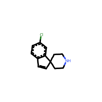 Clc1ccc2c(c1)C1(C=C2)CCNCC1